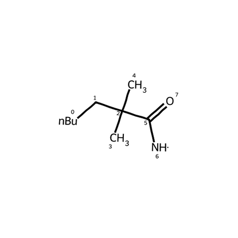 CCCCCC(C)(C)C([NH])=O